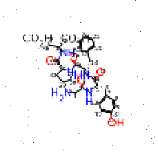 NCC(=O)N[C@@H](Cc1ccc(O)cc1)C(=O)N[C@@H](Cc1ccccc1)C(=O)N1CCC[C@H]1C(=O)N[C@@H](CC(=O)O)C(=O)O